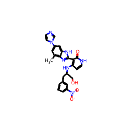 Cc1cc(-n2ccnc2)cc2[nH]c(-c3c(NC(CO)Cc4cccc([N+](=O)[O-])c4)cc[nH]c3=O)nc12